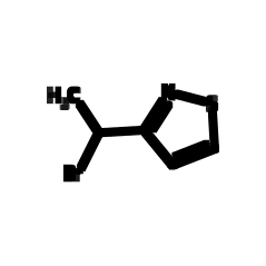 CC(Br)c1ccsn1